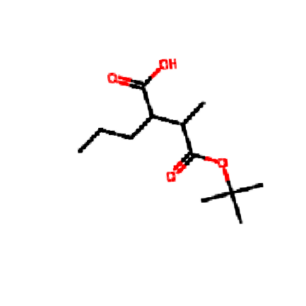 CCCC(C(=O)O)C(C)C(=O)OC(C)(C)C